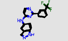 FC(F)(F)c1cccc(-c2nccc(Nc3ccc4[nH]ncc4c3)n2)c1